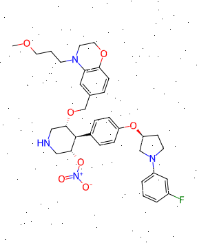 COCCCN1CCOc2ccc(CO[C@H]3CNC[C@@H](O[N+](=O)[O-])[C@@H]3c3ccc(O[C@H]4CCN(c5cccc(F)c5)C4)cc3)cc21